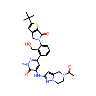 CC(=O)N1CCn2nc(Nc3cc(-c4cccc(N5Cc6cc(C(C)(C)C)sc6C5=O)c4CO)nn(C)c3=O)cc2C1